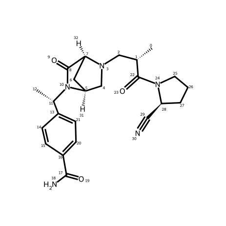 C[C@@H](CN1C[C@@H]2C[C@H]1C(=O)N2[C@@H](C)c1ccc(C(N)=O)cc1)C(=O)N1CCC[C@H]1C#N